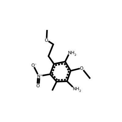 COCCc1c(N)c(OC)c(N)c(C)c1[N+](=O)[O-]